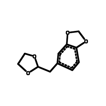 c1cc2c(cc1CC1OCCO1)OCO2